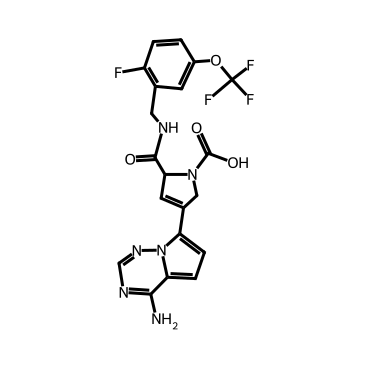 Nc1ncnn2c(C3=CC(C(=O)NCc4cc(OC(F)(F)F)ccc4F)N(C(=O)O)C3)ccc12